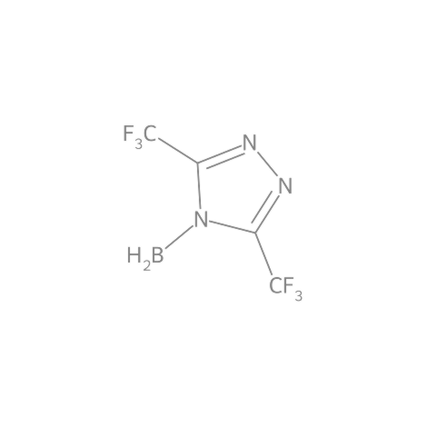 Bn1c(C(F)(F)F)nnc1C(F)(F)F